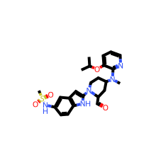 CC(C)Oc1cccnc1N(C)C1CCN(c2cc3cc(NS(C)(=O)=O)ccc3[nH]2)C(C=O)C1